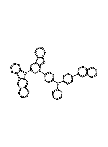 c1ccc(N(c2ccc(-c3ccc4ccccc4c3)cc2)c2ccc(-c3cc(-n4c5ccccc5c5cc6ccccc6cc54)cc4c3sc3ccccc34)cc2)cc1